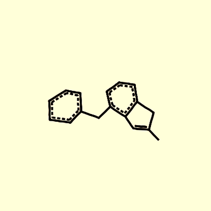 CC1=Cc2c(cccc2Cc2ccccc2)C1